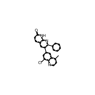 Cc1ccnc2c(Cl)cc(-c3cc4ccc(=O)[nH]c4nc3-c3ccccc3)cc12